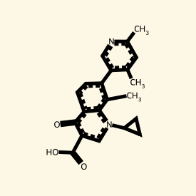 Cc1cc(C)c(-c2ccc3c(=O)c(C(=O)O)cn(C4CC4)c3c2C)cn1